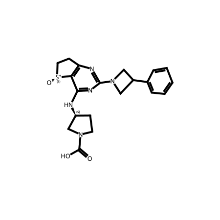 O=C(O)N1CC[C@H](Nc2nc(N3CC(c4ccccc4)C3)nc3c2[S@+]([O-])CC3)C1